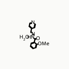 COc1ccccc1C(=O)NN=Cc1ccncc1.O